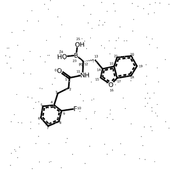 O=C(CCc1ccccc1F)N[C@@H](Cc1coc2ccccc12)B(O)O